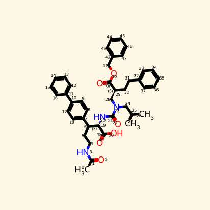 CC(=O)NCCC(c1ccc(-c2ccccc2)cc1)[C@H](NC(=O)N(CC(C)C)C[C@H](CCc1ccccc1)C(=O)OCc1ccccc1)C(=O)O